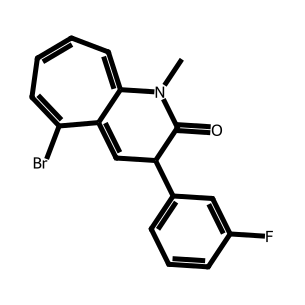 CN1C(=O)C(c2cccc(F)c2)C=C2C(Br)=CC=CC=C21